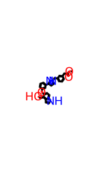 COC(=O)Cc1cccc(Cn2ccc(-c3cccc(Oc4ccc5[nH]ccc5c4CO)c3)n2)c1